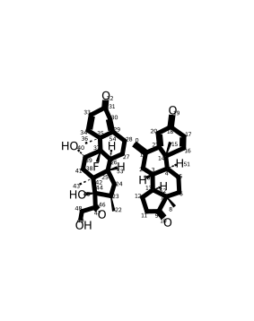 C=C1C[C@@H]2[C@H](CC[C@]3(C)C(=O)CC[C@@H]23)[C@@]2(C)C=CC(=O)C=C12.C[C@@H]1C[C@H]2[C@@H]3CCC4=CC(=O)C=C[C@]4(C)[C@@]3(F)[C@@H](O)C[C@]2(C)[C@@]1(O)C(=O)CO